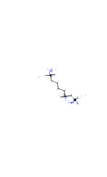 BC(C)(C)CC(C)(N)CCCCC(C)(N)CCC